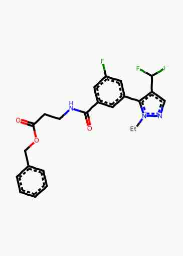 CCn1ncc(C(F)F)c1-c1cc(F)cc(C(=O)NCCC(=O)OCc2ccccc2)c1